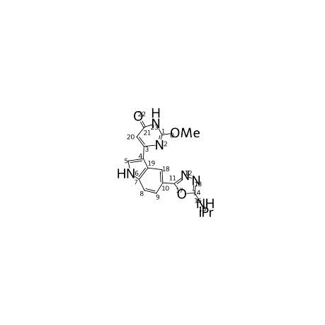 COc1nc(-c2c[nH]c3ccc(-c4nnc(NC(C)C)o4)cc23)cc(=O)[nH]1